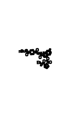 CCCCOC(=O)N1CCN(C(=O)CNC(=O)c2cc(OCC(=O)N3CCC[C@H]3C(=O)N(C)CC)c3ccc(C)cc3n2)CC1